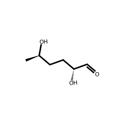 C[C@@H](O)CC[C@@H](O)C=O